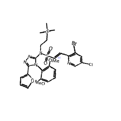 COc1cccc(OC)c1-n1c(-c2ccco2)nnc1N(CCS(C)(C)C)S(=O)(=O)/C=C/c1ncc(Cl)cc1Br